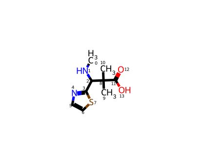 CNC(c1nccs1)C(C)(C)C(=O)O